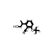 C[C](CO)c1cccc(OC(C)(C)C)c1C#N